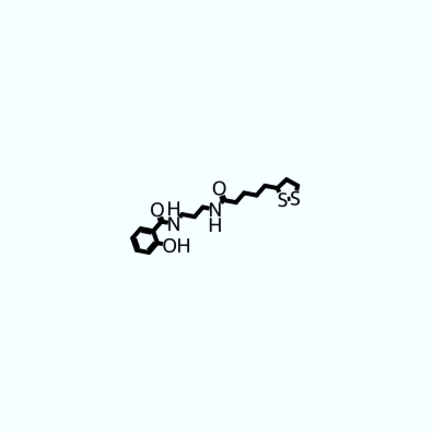 O=C(CCCCC1CCSS1)NCCCNC(=O)c1ccccc1O